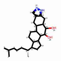 CC(C)CCC[C@@H](C)C1CCC2C1CCC1C3Cc4cn[nH]c4CC3C(O)C(O)C12